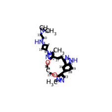 Cc1c2c(nn1C1CC(NCCN(C)C)C1)OCCCOc1c(cnn1C)-c1ccc3[nH]nc(c3c1)/C=C/2